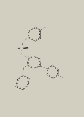 CC(=O)Oc1ccc(-c2cnc(NS(=O)(=O)Cc3ccc(I)cc3)c(Cc3ccccc3)n2)cc1